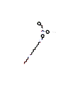 COc1ccc([C@@H]2[C@@H](CC[C@H](O)c3ccc(F)cc3)C(=O)N2c2ccc(CNC(=O)CCCCCCCCCCC(=O)NC[C@@H](O)[C@H](O)[C@H](O)[C@@H](O)CO)cc2)cc1